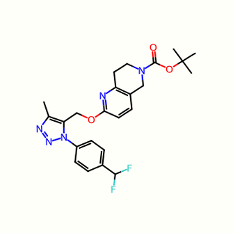 Cc1nnn(-c2ccc(C(F)F)cc2)c1COc1ccc2c(n1)CCN(C(=O)OC(C)(C)C)C2